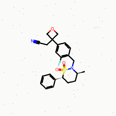 C[C@H]1CC[C@H](c2ccccc2)S(=O)(=O)N1Cc1ccc(C2(CC#N)COC2)cc1F